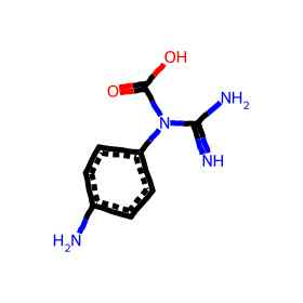 N=C(N)N(C(=O)O)c1ccc(N)cc1